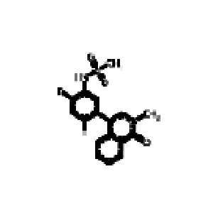 Cn1cc(-c2cc(NS(C)(=O)=O)c(F)cc2F)c2ccccc2c1=O